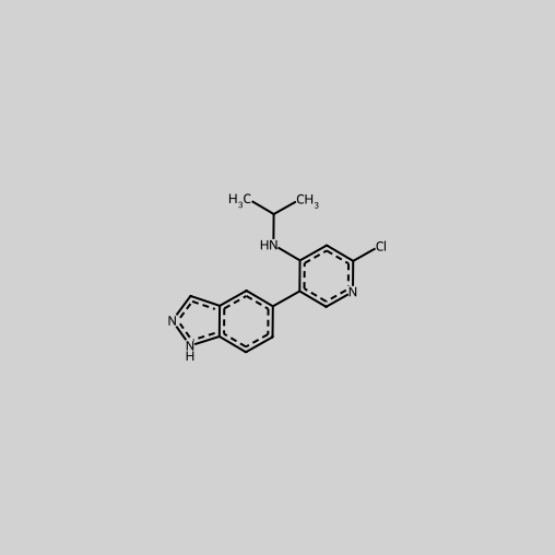 CC(C)Nc1cc(Cl)ncc1-c1ccc2[nH]ncc2c1